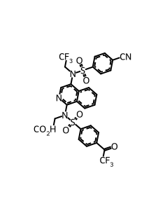 N#Cc1ccc(S(=O)(=O)N(CC(F)(F)F)c2cnc(N(CC(=O)O)S(=O)(=O)c3ccc(C(=O)C(F)(F)F)cc3)c3ccccc23)cc1